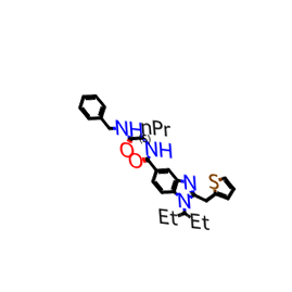 CCC[C@H](NC(=O)c1ccc2c(c1)nc(Cc1cccs1)n2C(CC)CC)C(=O)NCc1ccccc1